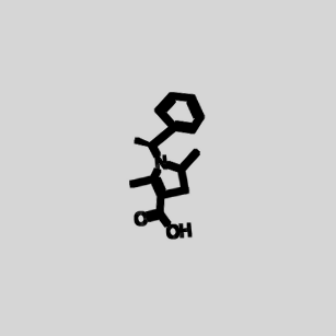 CC1=C(C(=O)O)CC(C)N1[C@@H](C)c1ccccc1